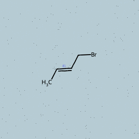 C/[C]=C/CBr